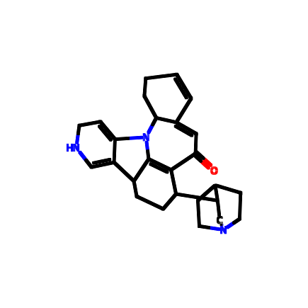 O=C1C=C2C=CCCC2N2C3=CCNC=C3C3CCC(C4CN5CCC4CC5)C1=C32